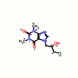 Cn1c(=O)c2c(ncn2CC(O)CCl)n(C)c1=O